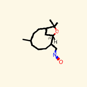 CC1CCCC(CN=O)[C@@H]2CC(CC1)C(C)(C)O2